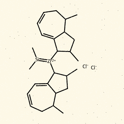 CC1CC=CC=C2C1CC(C)[CH]2[Zr+2]([CH]1C2=CC=CCC(C)C2CC1C)=[Si](C)C.[Cl-].[Cl-]